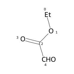 [CH2]COC(=O)C=O